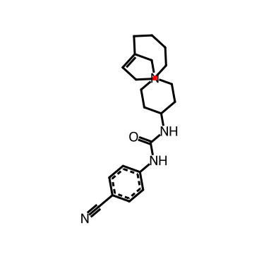 N#Cc1ccc(NC(=O)NC2CCN(C/C3=C\CCCCCC3)CC2)cc1